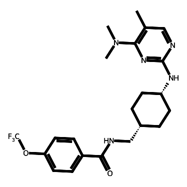 Cc1cnc(N[C@H]2CC[C@@H](CNC(=O)c3ccc(OC(F)(F)F)cc3)CC2)nc1N(C)C